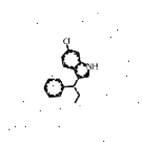 [CH2]CC(c1ccccc1)c1c[nH]c2cc(Cl)ccc12